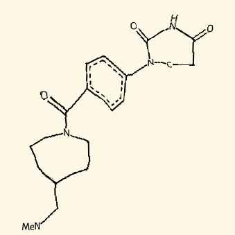 CNCC1CCN(C(=O)c2ccc(N3CCC(=O)NC3=O)cc2)CC1